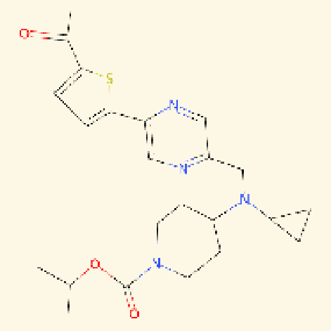 CC(=O)c1ccc(-c2cnc(CN(C3CC3)C3CCN(C(=O)OC(C)C)CC3)cn2)s1